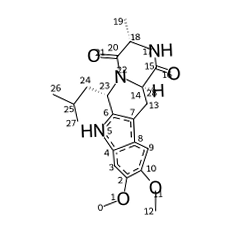 COc1cc2[nH]c3c(c2cc1OC)C[C@@H]1C(=O)N[C@@H](C)C(=O)N1[C@H]3CC(C)C